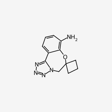 Nc1cccc2c1OC1(CCC1)Cn1nnnc1-2